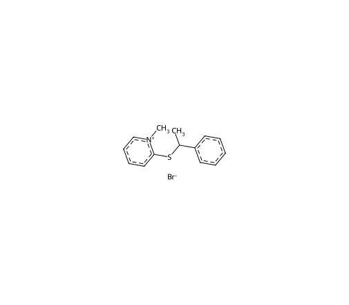 CC(Sc1cccc[n+]1C)c1ccccc1.[Br-]